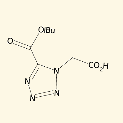 CC(C)COC(=O)c1nnnn1CC(=O)O